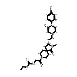 CCOC(=O)NCC(=O)N1CCC2(CC1)C[C@H](CCN1CCN(c3ccc(F)cc3)[C@@H](C)C1)N(C)C2=O